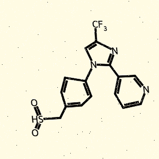 O=[SH](=O)Cc1ccc(-n2cc(C(F)(F)F)nc2-c2cccnc2)cc1